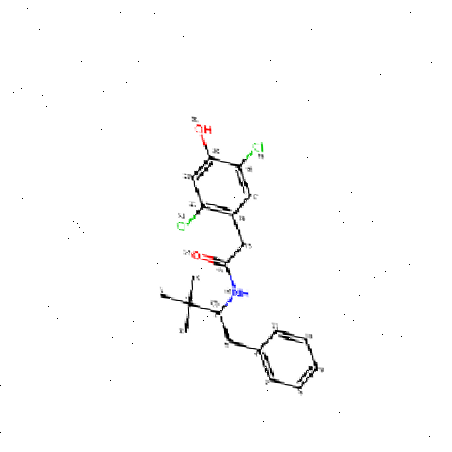 CC(C)(C)[C@H](Cc1ccccc1)NC(=O)Cc1cc(Cl)c(O)cc1Cl